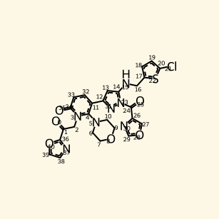 O=C(Cn1c(N2CCOCC2)c(-c2cc(NCc3ccc(Cl)s3)n(C(=O)c3cocn3)n2)ccc1=O)c1ncco1